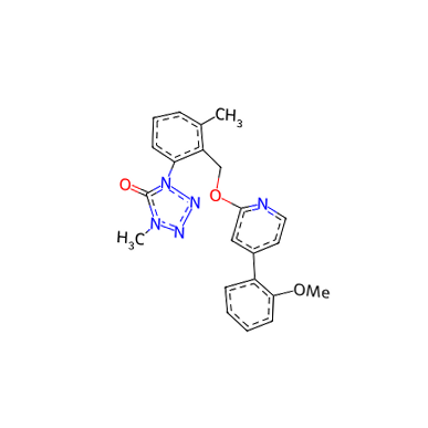 COc1ccccc1-c1ccnc(OCc2c(C)cccc2-n2nnn(C)c2=O)c1